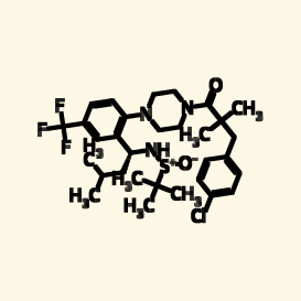 CC(C)C[C@H](N[S+]([O-])C(C)(C)C)c1cc(C(F)(F)F)ccc1N1CCN(C(=O)C(C)(C)Cc2ccc(Cl)cc2)CC1